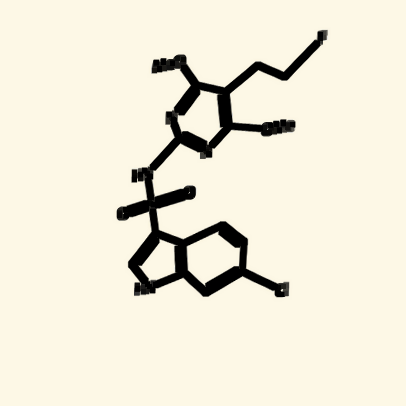 COc1nc(NS(=O)(=O)c2c[nH]c3cc(Cl)ccc23)nc(OC)c1CCF